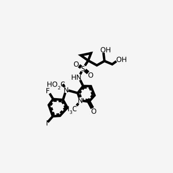 Cn1c(N(C(=O)O)c2ccc(I)cc2F)c(NS(=O)(=O)C2(CC(O)CO)CC2)ccc1=O